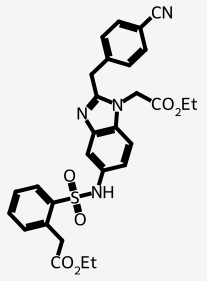 CCOC(=O)Cc1ccccc1S(=O)(=O)Nc1ccc2c(c1)nc(Cc1ccc(C#N)cc1)n2CC(=O)OCC